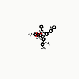 Cc1ccc(-c2ccc3c(c2)c2cc(-c4ccc(C)cc4C)ccc2n3-c2ccc(-c3ccc4c(c3)sc3ccccc34)cc2-c2nc(-c3ccccc3)nc(-c3ccccc3)n2)c(C)c1